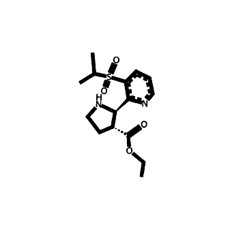 CCOC(=O)[C@@H]1CCN[C@H]1c1ncccc1S(=O)(=O)C(C)C